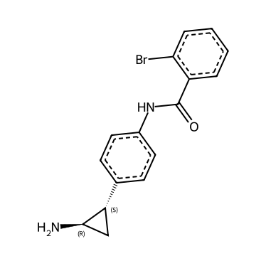 N[C@@H]1C[C@H]1c1ccc(NC(=O)c2ccccc2Br)cc1